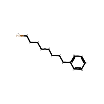 SCCCCCCCCc1ccccc1